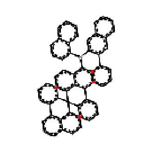 c1ccc(-c2cc3ccccc3cc2N(c2cccc3ccccc23)c2ccc3c4c(cccc24)C2(c4ccccc4-c4cccc5cccc2c45)c2ccccc2-3)cc1